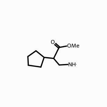 COC(=O)C(C[NH])C1CCCC1